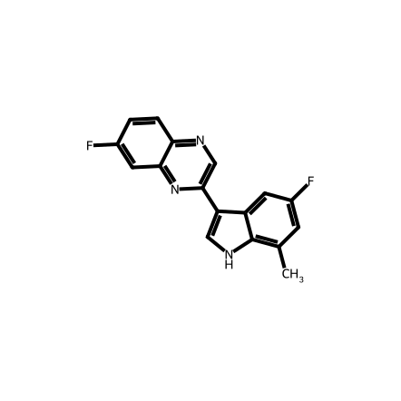 Cc1cc(F)cc2c(-c3cnc4ccc(F)cc4n3)c[nH]c12